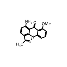 COc1cccc2c1c(=O)c1c(N)ccc3c(C)nn2c31